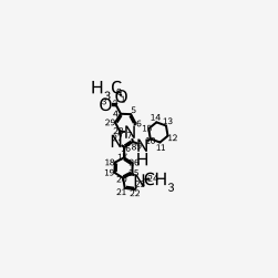 COC(=O)c1ccn2c(NC3CCCCC3)c(-c3ccc4ccn(C)c4c3)nc2c1